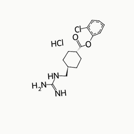 Cl.N=C(N)NC[C@H]1CC[C@H](C(=O)Oc2ccccc2Cl)CC1